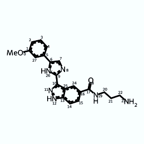 COc1cccc(-c2cnc(-c3n[nH]c4ccc(C(=O)NCCCN)cc34)[nH]2)c1